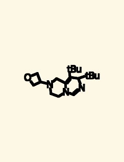 CC(C)(C)C1=C2CN(C3COC3)CCN2C=NC1C(C)(C)C